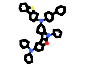 c1ccc(-c2ccc(N(c3ccc4c(c3)sc3ccccc34)c3ccc4c5c6cc(N(c7ccccc7)c7ccccc7)ccc6oc5n(-c5ccccc5)c4c3)cc2)cc1